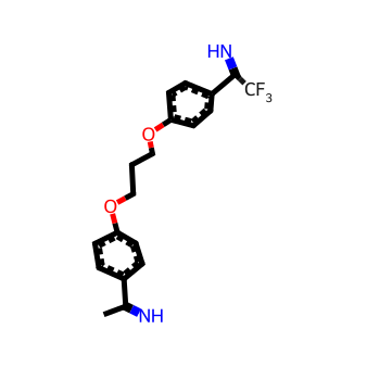 CC(=N)c1ccc(OCCCOc2ccc(C(=N)C(F)(F)F)cc2)cc1